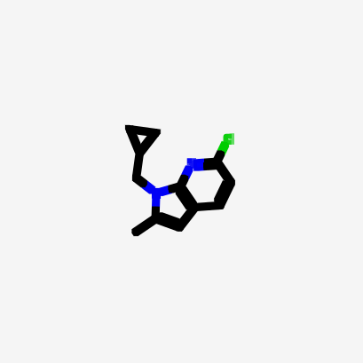 Cc1cc2ccc(Cl)nc2n1CC1CC1